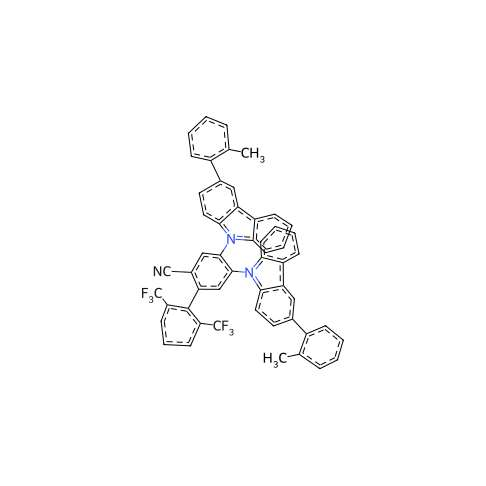 Cc1ccccc1-c1ccc2c(c1)c1ccccc1n2-c1cc(C#N)c(-c2c(C(F)(F)F)cccc2C(F)(F)F)cc1-n1c2ccccc2c2cc(-c3ccccc3C)ccc21